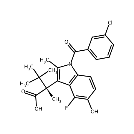 Cc1c([C@](C)(C(=O)O)C(C)(C)C)c2c(F)c(O)ccc2n1C(=O)c1cccc(Cl)c1